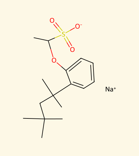 CC(Oc1ccccc1C(C)(C)CC(C)(C)C)S(=O)(=O)[O-].[Na+]